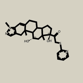 Cn1ncc2c1C=C1CCC3C([C@@H](O)CC4(C)C3CC[C@]4(O)C(=O)CSc3ccccn3)C1(C)C2